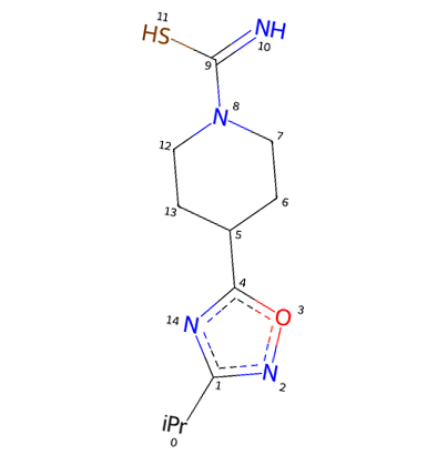 CC(C)c1noc(C2CCN(C(=N)S)CC2)n1